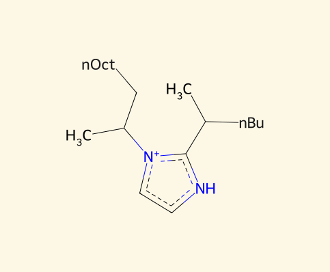 CCCCCCCCCC(C)[n+]1cc[nH]c1C(C)CCCC